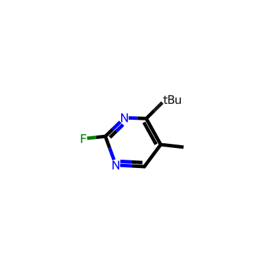 Cc1cnc(F)nc1C(C)(C)C